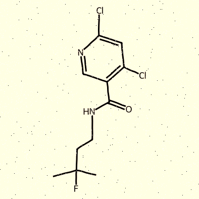 CC(C)(F)CCNC(=O)c1cnc(Cl)cc1Cl